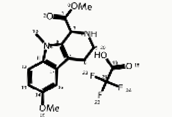 COC(=O)C1NCCc2c1n(C)c1ccc(OC)cc21.O=C(O)C(F)(F)F